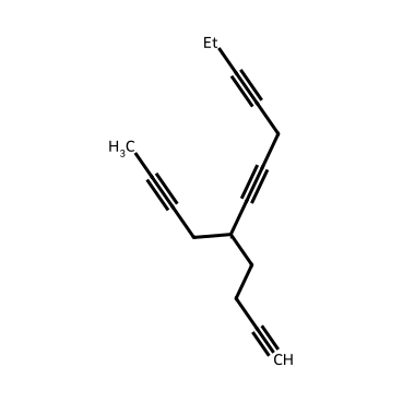 C#CCC[C](C#CCC#CCC)CC#CC